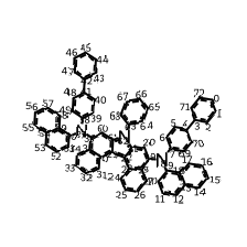 c1ccc(-c2ccc(N(c3cccc4ccccc34)c3cc4c(c5ccccc35)c3c5ccccc5c(N(c5ccc(-c6ccccc6)cc5)c5cccc6ccccc56)cc3n4-c3ccccc3)cc2)cc1